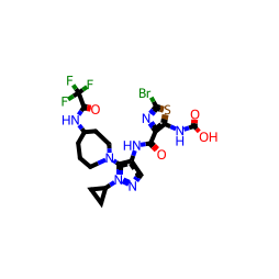 O=C(O)Nc1sc(Br)nc1C(=O)Nc1cnn(C2CC2)c1N1CCCC(NC(=O)C(F)(F)F)CC1